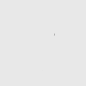 Fc1ccc(CCNc2ccc3c(c2)OCC3)cc1